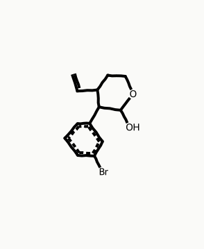 C=CC1CCOC(O)C1c1cccc(Br)c1